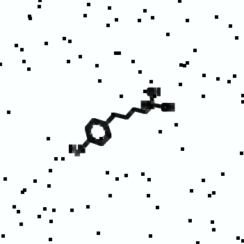 Nc1ccc(CCCC[SiH](O)O)cc1